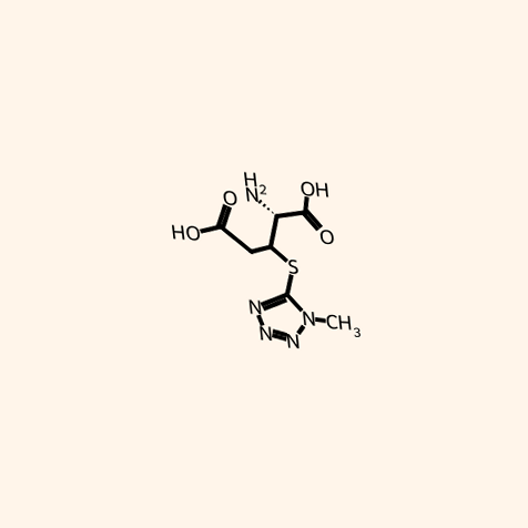 Cn1nnnc1SC(CC(=O)O)[C@H](N)C(=O)O